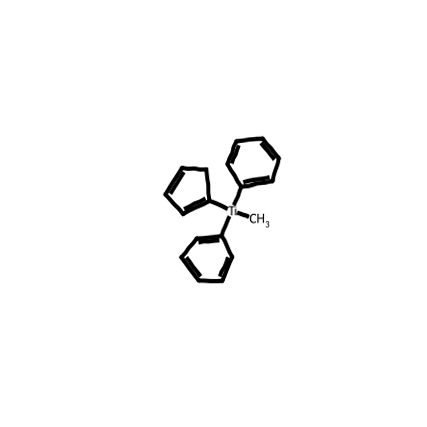 [CH3][Ti]([C]1=CC=CC1)([c]1ccccc1)[c]1ccccc1